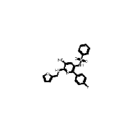 N#Cc1cc(NS(=O)(=O)c2ccccc2)c(-c2ccc(F)cc2)nc1NCc1ccco1